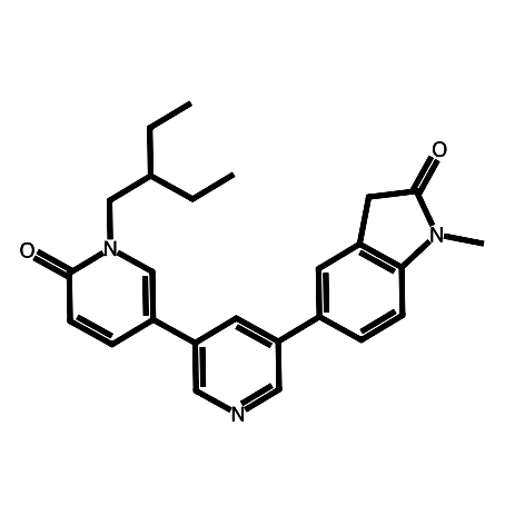 CCC(CC)Cn1cc(-c2cncc(-c3ccc4c(c3)CC(=O)N4C)c2)ccc1=O